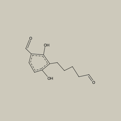 O=CCCCCc1c(O)ccc(C=O)c1O